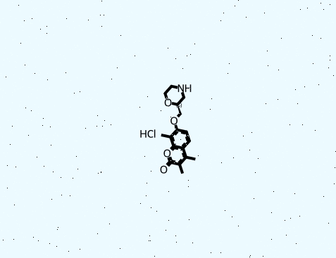 Cc1c(C)c2ccc(OC[C@@H]3CNCCO3)c(C)c2oc1=O.Cl